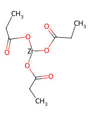 CCC(=O)[O][Zr]([O]C(=O)CC)[O]C(=O)CC